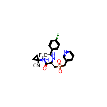 N#CC1(NC(=O)[C@H](CS(=O)(=O)Cc2cccnc2)N[C@@H](c2ccc(F)cc2)C(F)(F)F)CC1